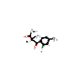 COC(=O)C(C)(C)C(=O)c1ccc(C)cc1F